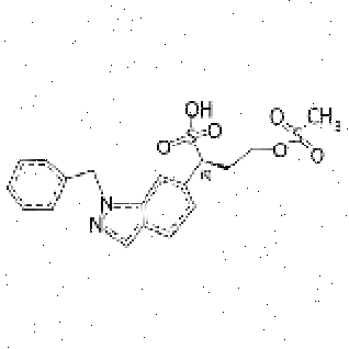 CS(=O)(=O)OCC[C@@H](c1ccc2cnn(Cc3ccccc3)c2c1)S(=O)(=O)O